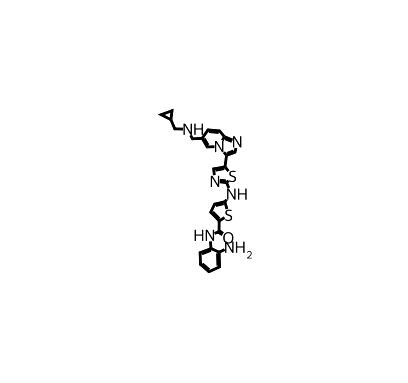 Nc1ccccc1NC(=O)c1ccc(Nc2ncc(-c3cnc4ccc(CNCC5CC5)cn34)s2)s1